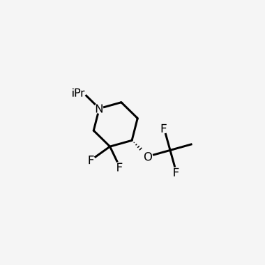 CC(C)N1CC[C@H](OC(C)(F)F)C(F)(F)C1